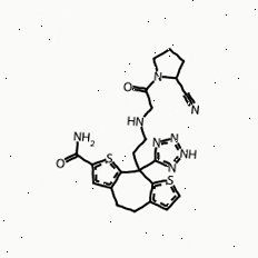 N#CC1CCCN1C(=O)CNCCC1(c2nn[nH]n2)c2sccc2CCc2cc(C(N)=O)sc21